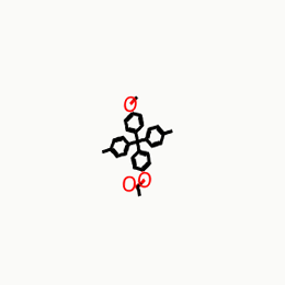 COc1ccc(C(c2ccc(C)cc2)(c2ccc(C)cc2)c2ccc(OC(C)=O)cc2)cc1